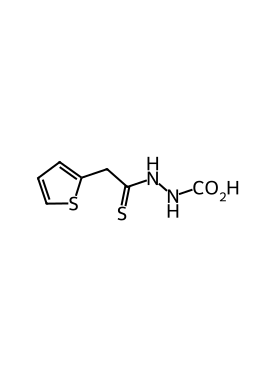 O=C(O)NNC(=S)Cc1cccs1